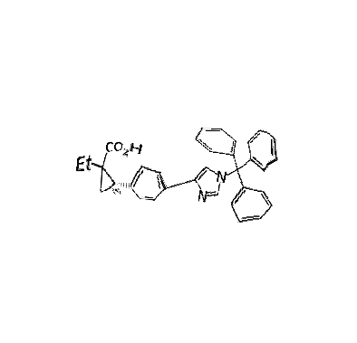 CCC1(C(=O)O)C[C@H]1c1ccc(-c2cn(C(c3ccccc3)(c3ccccc3)c3ccccc3)cn2)cc1